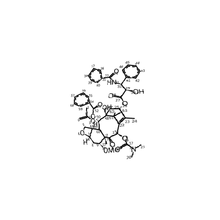 C=C(C)O[C@@]12CO[C@@H]1C[C@H](OC)[C@@]1(C)C(=O)[C@H](OC(=O)N(C)C)C3=C(C)[C@@H](OC(=O)[C@H](O)[C@@H](NC(=O)c4ccccc4)c4ccccc4)C[C@@](O)([C@@H](OC(=O)c4ccccc4)[C@H]21)C3(C)C